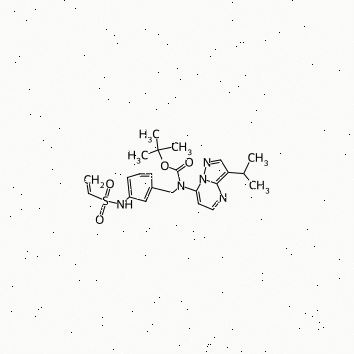 C=CS(=O)(=O)Nc1cccc(CN(C(=O)OC(C)(C)C)c2ccnc3c(C(C)C)cnn23)c1